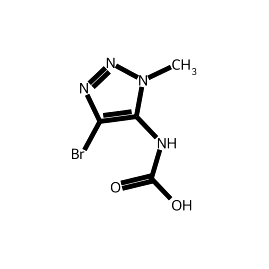 Cn1nnc(Br)c1NC(=O)O